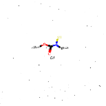 CCCCCCCCCOC(=O)N(S)CCCCCCCCC.[Cd]